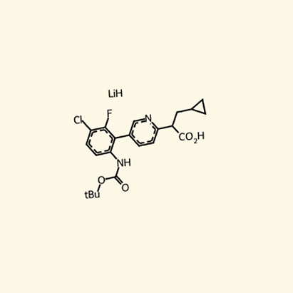 CC(C)(C)OC(=O)Nc1ccc(Cl)c(F)c1-c1ccc(C(CC2CC2)C(=O)O)nc1.[LiH]